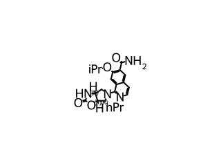 CCC[C@@H]1[C@@H]2OC(=O)N[C@@H]2CN1c1nccc2cc(C(N)=O)c(OC(C)C)cc12